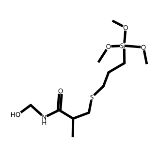 CO[Si](CCCSCC(C)C(=O)NCO)(OC)OC